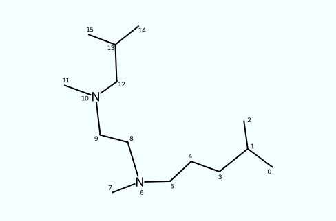 CC(C)CCCN(C)CCN(C)CC(C)C